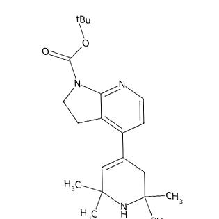 CC1(C)C=C(c2ccnc3c2CCN3C(=O)OC(C)(C)C)CC(C)(C)N1